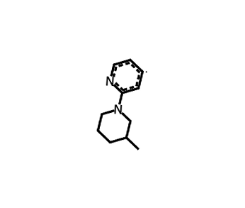 CC1CCCN(c2c[c]ccn2)C1